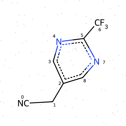 N#CCc1cnc(C(F)(F)F)nc1